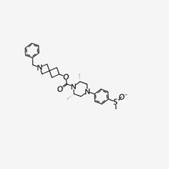 C[C@@H]1CN(c2ccc([S+](C)[O-])cc2)C[C@H](C)N1C(=O)OC1CC2(C1)CN(Cc1ccccc1)C2